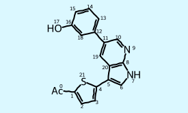 CC(=O)c1ccc(-c2c[nH]c3ncc(-c4cccc(O)c4)cc23)s1